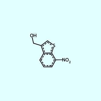 O=[N+]([O-])c1cccc2c(CO)csc12